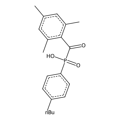 CCCCc1ccc(P(=O)(O)C(=O)c2c(C)cc(C)cc2C)cc1